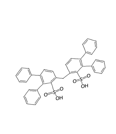 O=S(=O)(O)c1c(Cc2ccc(-c3ccccc3)c(-c3ccccc3)c2S(=O)(=O)O)ccc(-c2ccccc2)c1-c1ccccc1